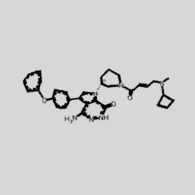 CN(CC=CC(=O)N1CCC[C@@H](n2cc(-c3ccc(Oc4ccccc4)cc3)c3c(N)n[nH]c(=O)c32)C1)C1CCC1